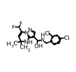 CC1(C)C=C(C(F)F)n2ncc(C(O)NCc3ccc(Cl)cc3Cl)c2N1